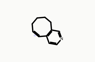 [c]1nccc2c1CCCC/C=C\2